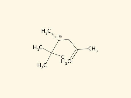 CC(=O)C[C@@H](C)C(C)(C)C